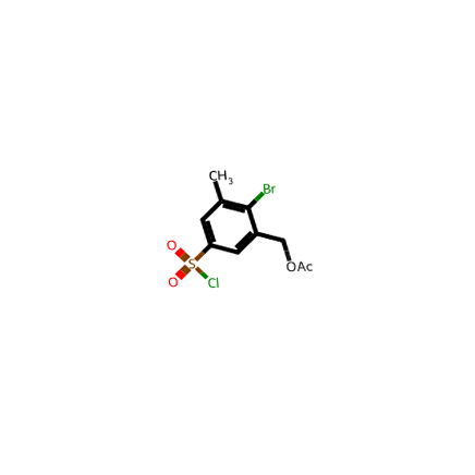 CC(=O)OCc1cc(S(=O)(=O)Cl)cc(C)c1Br